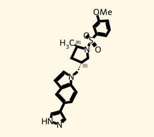 COc1cccc(S(=O)(=O)N2C[C@H](Cn3ccc4cc(-c5cn[nH]c5)ccc43)C[C@H]2C)c1